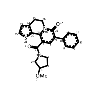 COC1CCN(C(=O)c2cc(-c3ccccc3)c(=O)n3c2-c2sccc2CC3)C1